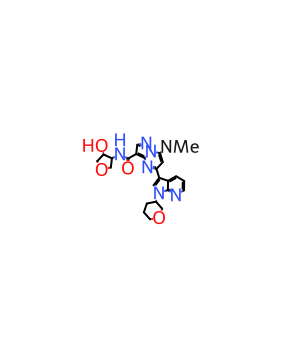 CNc1cc(-c2cn([C@H]3CCCOC3)c3ncccc23)nc2c(C(=O)NC3COC[C@@H]3O)cnn12